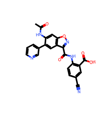 CC(=O)Nc1cc2onc(C(=O)Nc3ccc(C#N)cc3C(=O)O)c2cc1-c1cccnc1